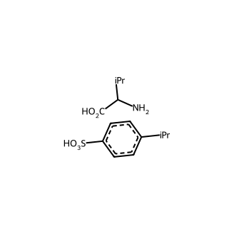 CC(C)C(N)C(=O)O.CC(C)c1ccc(S(=O)(=O)O)cc1